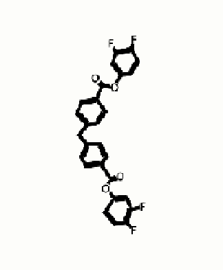 O=C(Oc1ccc(F)c(F)c1)c1ccc(Cc2ccc(C(=O)Oc3ccc(F)c(F)c3)cc2)cc1